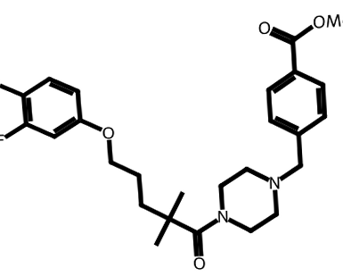 COC(=O)c1ccc(CN2CCN(C(=O)C(C)(C)CCCOc3ccc(F)c(F)c3)CC2)cc1